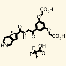 O=C(O)C(F)(F)F.O=C(O)COc1cc(OCC(=O)O)cc(C(=O)CNC(=O)c2cc3c(s2)CCNC3)c1